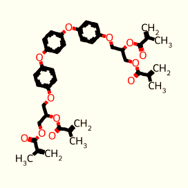 C=C(C)C(=O)OCC(COc1ccc(Oc2ccc(Oc3ccc(OCC(COC(=O)C(=C)C)OC(=O)C(=C)C)cc3)cc2)cc1)OC(=O)C(=C)C